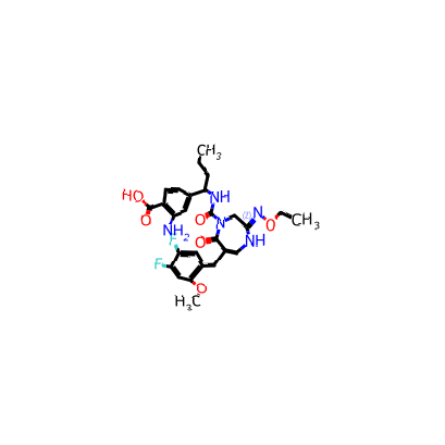 CCCC(NC(=O)N1C/C(=N/OCC)NCC(Cc2cc(F)c(F)cc2OC)C1=O)c1ccc(C(=O)O)c(N)c1